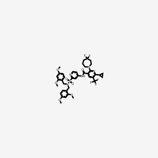 COc1ccc(CN(Cc2ccc(OC)cc2OC)S(=O)(=O)c2cc(NC(=O)c3cc(C(F)(F)F)c(C4CC4)nc3N3CCCC(F)(F)CC3)ccn2)c(OC)c1